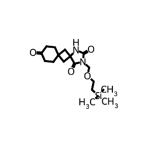 C[Si](C)(C)CCOCN1C(=O)NC2(CC3(CCC(=O)CC3)C2)C1=O